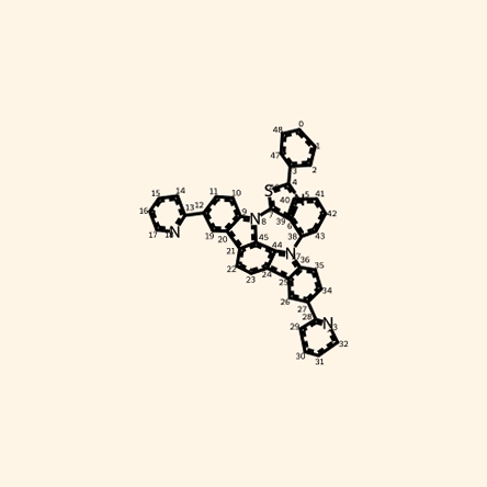 c1ccc(-c2ncc(-n3c4ccc(-c5ccccn5)cc4c4ccc5c6cc(-c7ccccn7)ccc6n(-c6ccccc6)c5c43)s2)cc1